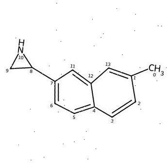 Cc1ccc2ccc(C3CN3)cc2c1